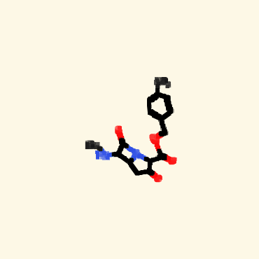 CCC(C)NC1C(=O)N2C(C(=O)OCc3ccc([N+](=O)[O-])cc3)C(=O)CC12